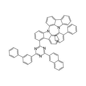 c1ccc(-c2cccc(-c3nc(-c4ccc5ccccc5c4)nc(-c4cccc5c4c4ccccc4n5-c4cccc5c6ccccc6n(-c6ccccc6-c6ccccc6)c45)n3)c2)cc1